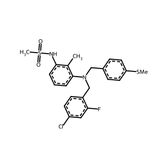 CSc1ccc(CN(Cc2ccc(Cl)cc2F)c2cccc(NS(C)(=O)=O)c2C)cc1